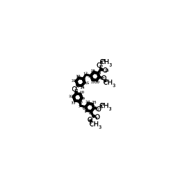 COC(=O)c1cc(Cc2ccc(Oc3ccc(Cc4ccc(OC)c(C(=O)OC)c4)cc3)cc2)ccc1OC